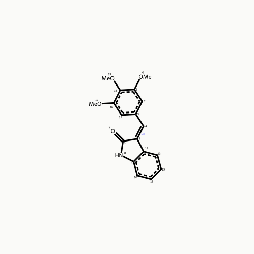 COc1cc(/C=C2\C(=O)Nc3ccccc32)cc(OC)c1OC